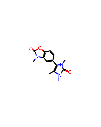 Cc1[nH]c(=O)n(C)c1-c1ccc2oc(=O)n(C)c2c1